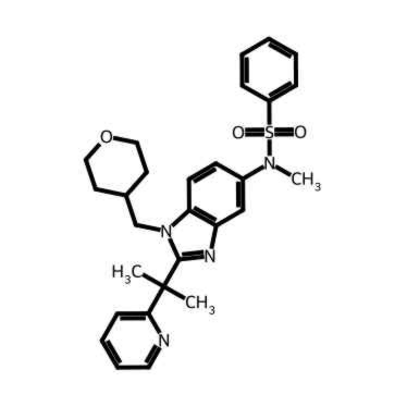 CN(c1ccc2c(c1)nc(C(C)(C)c1ccccn1)n2CC1CCOCC1)S(=O)(=O)c1ccccc1